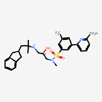 CN(C[C@H](O)CNC(C)(C)CC1Cc2ccccc2C1)S(=O)(=O)c1cc(-c2cccc(C(=O)O)n2)cc(C(F)(F)F)c1